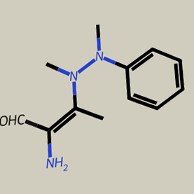 C/C(=C(\N)C=O)N(C)N(C)c1ccccc1